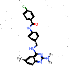 CCN(CC)c1nc(NCc2ccc(NC(=O)c3ccc(Cl)cc3)cc2)c2cc(C(F)(F)F)ccc2n1